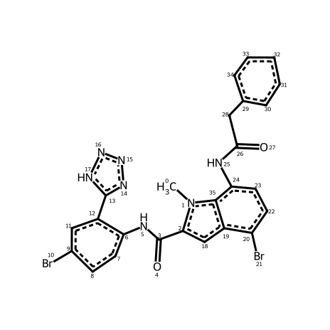 Cn1c(C(=O)Nc2ccc(Br)cc2-c2nnn[nH]2)cc2c(Br)ccc(NC(=O)Cc3ccccc3)c21